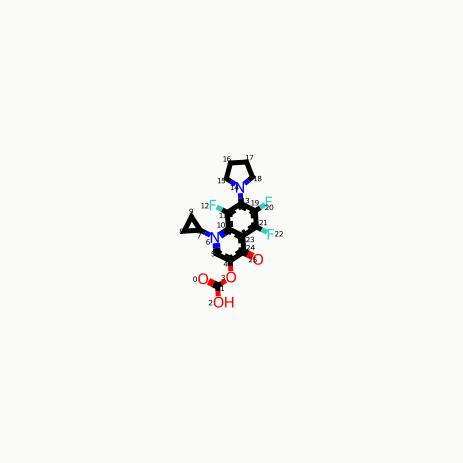 O=C(O)Oc1cn(C2CC2)c2c(F)c(N3CCCC3)c(F)c(F)c2c1=O